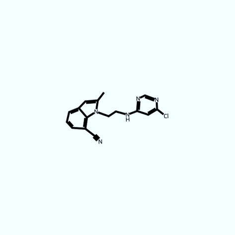 Cc1cc2cccc(C#N)c2n1CCNc1cc(Cl)ncn1